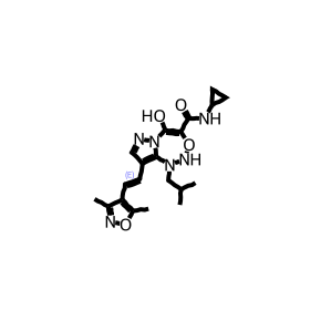 Cc1noc(C)c1/C=C/c1cnn2c(O)c(C(=O)NC3CC3)o[nH]n(CC(C)C)c12